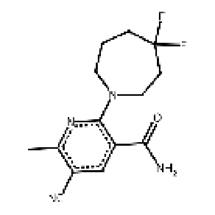 Cc1nc(N2CCCC(F)(F)CC2)c(C(N)=O)cc1C#N